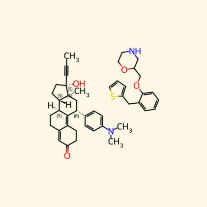 CC#C[C@]1(O)CC[C@H]2[C@@H]3CCC4=CC(=O)CCC4=C3[C@@H](c3ccc(N(C)C)cc3)C[C@@]21C.c1csc(Cc2ccccc2OCC2CNCCO2)c1